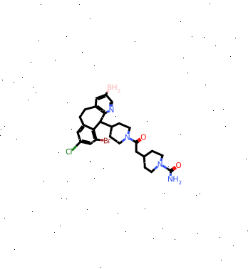 Bc1cnc2c(c1)CCc1cc(Cl)cc(Br)c1C2C1CCN(C(=O)CC2CCN(C(N)=O)CC2)CC1